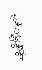 CSc1cc(C)[nH]c(=O)c1CNC(=O)c1c(C)n([C@H](C)C2CCC(CNC3CC(F)(F)C3)CC2)c2ncccc12